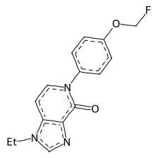 CCn1cnc2c(=O)n(-c3ccc(OCF)cc3)ccc21